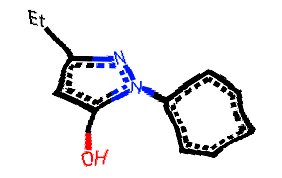 CCc1cc(O)n(-c2ccccc2)n1